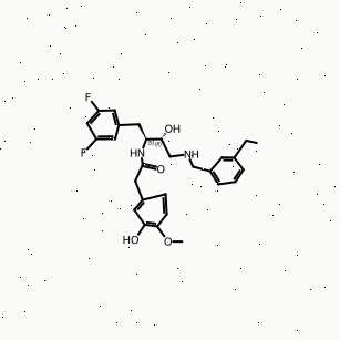 CCc1cccc(CNC[C@@H](O)[C@H](Cc2cc(F)cc(F)c2)NC(=O)Cc2ccc(OC)c(O)c2)c1